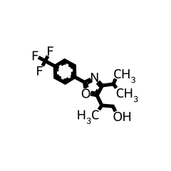 CC(C)c1nc(-c2ccc(C(F)(F)F)cc2)oc1C(C)CO